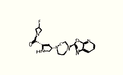 O=C([C@@H]1C[C@H](N2CCN(c3nc4cccnc4o3)CC2)CN1)N1CC(F)C1